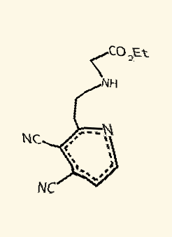 CCOC(=O)CNCc1nccc(C#N)c1C#N